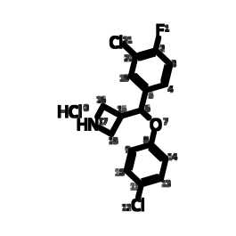 Cl.Fc1ccc(C(Oc2ccc(Cl)cc2)C2CNC2)cc1Cl